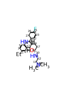 CCc1ccc2c(c1)[C@H]1O[C@@H](CNCCN(C)C)CC[C@H]1[C@H](C1C=CC(F)=CC1)N2